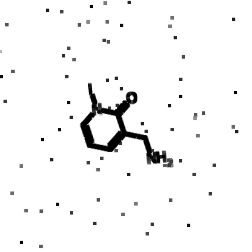 NCc1cccn(I)c1=O